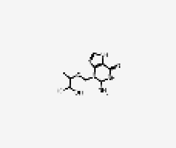 CC(OCN1c2nc[nH]c2C(=O)NC1N)C(O)O